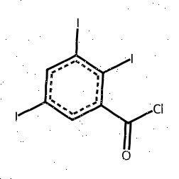 O=C(Cl)c1cc(I)cc(I)c1I